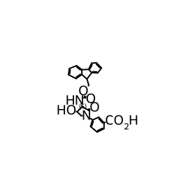 O=C(N[C@@H]1C(=O)N(c2cccc(C(=O)O)c2)CC1O)OCC1c2ccccc2-c2ccccc21